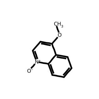 COc1cc[n+]([O-])c2ccccc12